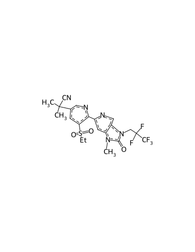 CCS(=O)(=O)c1cc(C(C)(C)C#N)cnc1-c1cc2c(cn1)n(CC(F)(F)C(F)(F)F)c(=O)n2C